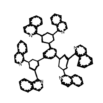 c1ccc2c(C3CC(c4cc(C5CC(c6nccc7ccccc67)CC(c6nccc7ccccc67)C5)cc(C5CC(c6nccc7ccccc67)CC(c6nccc7ccccc67)C5)c4)CC(c4nccc5ccccc45)C3)nccc2c1